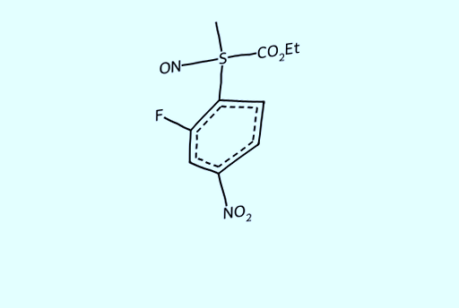 CCOC(=O)S(C)(N=O)c1ccc([N+](=O)[O-])cc1F